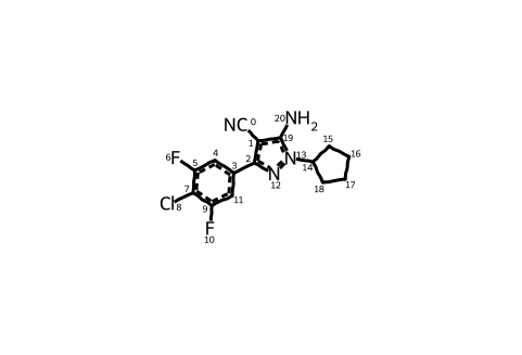 N#Cc1c(-c2cc(F)c(Cl)c(F)c2)nn(C2CCCC2)c1N